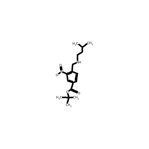 CC(C)CCNCc1ccc(C(=O)OC(C)(C)C)cc1[N+](=O)[O-]